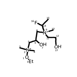 CCO[N+](C)(C)CC(O)C[N+](C)(CCO)C(C)F